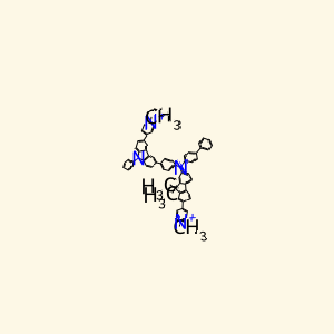 C[n+]1ccc(-c2ccc3c(c2)C(C)(C)c2cc(N(c4ccc(-c5ccccc5)cc4)c4ccc(-c5ccc6c(c5)c5cc(-c7cc[n+](C)cc7)ccc5n6-c5ccccc5)cc4)ccc2-3)cc1